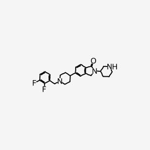 O=C1c2ccc(C3CCN(Cc4cccc(F)c4F)CC3)cc2CN1C1CCCNC1